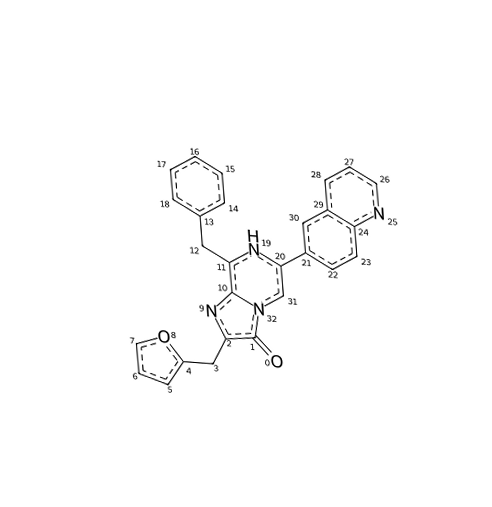 O=c1c(Cc2ccco2)nc2c(Cc3ccccc3)[nH]c(-c3ccc4ncccc4c3)cn1-2